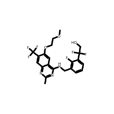 COCCOc1cc2c(NCc3cccc(C(F)(F)CO)c3F)nc(C)nc2cc1C(F)(F)F